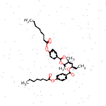 C=C(OC(=O)c1ccc(OC(=O)CCCCCCC)cc1)/C(C)=C\C(=C/C)OC(=O)c1ccc(OC(=O)CCCCCCC)cc1